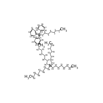 CCCCCCCC[B-](c1ccccc1)(c1ccccc1)c1ccccc1.CCCCCCCC[N+](CCCCCCCC)(CCCCCCCC)CCCCCCCC